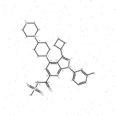 Cc1cccc(-n2nc(C3CCC3)c3c(N4CCC(N5CCOCC5)CC4)cc(C(=O)NS(C)(=O)=O)nc32)c1